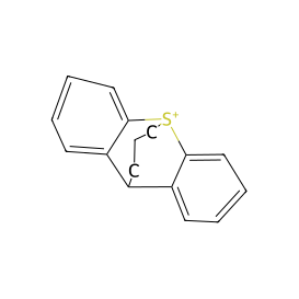 c1ccc2c(c1)C1CCC[S+]2c2ccccc21